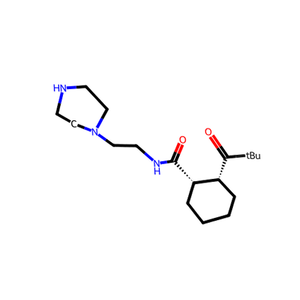 CC(C)(C)C(=O)[C@@H]1CCCC[C@@H]1C(=O)NCCN1CCNCC1